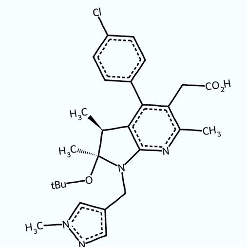 Cc1nc2c(c(-c3ccc(Cl)cc3)c1CC(=O)O)[C@H](C)[C@](C)(OC(C)(C)C)N2Cc1cnn(C)c1